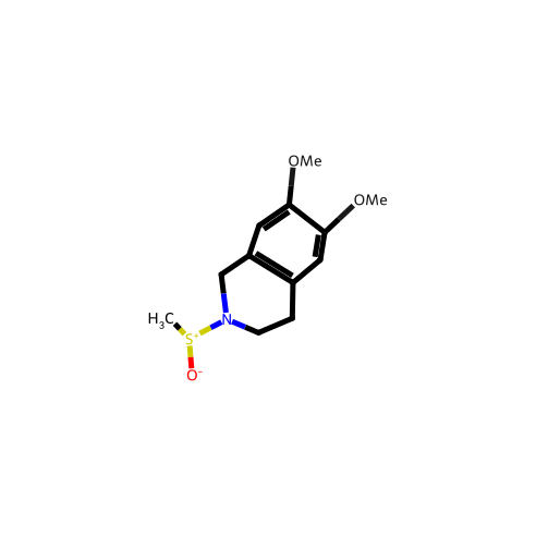 COc1cc2c(cc1OC)CN([S+](C)[O-])CC2